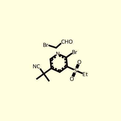 CCS(=O)(=O)c1cc(C(C)(C)C#N)cnc1Br.O=CCBr